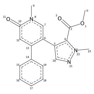 COC(=O)c1c(-c2cn(C)c(=O)cc2-c2ccccc2)cnn1C